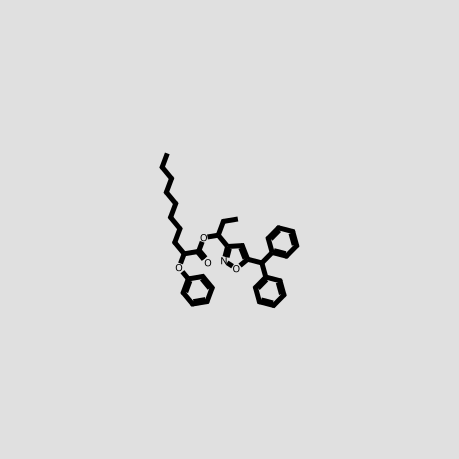 CCCCCCCCC(Oc1ccccc1)C(=O)OC(CC)c1cc(C(c2ccccc2)c2ccccc2)on1